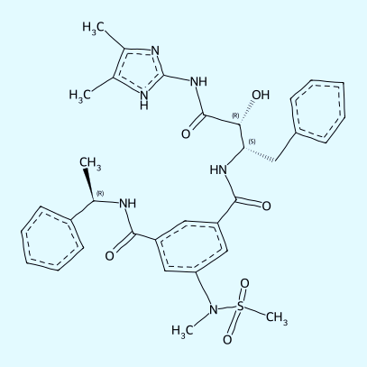 Cc1nc(NC(=O)[C@H](O)[C@H](Cc2ccccc2)NC(=O)c2cc(C(=O)N[C@H](C)c3ccccc3)cc(N(C)S(C)(=O)=O)c2)[nH]c1C